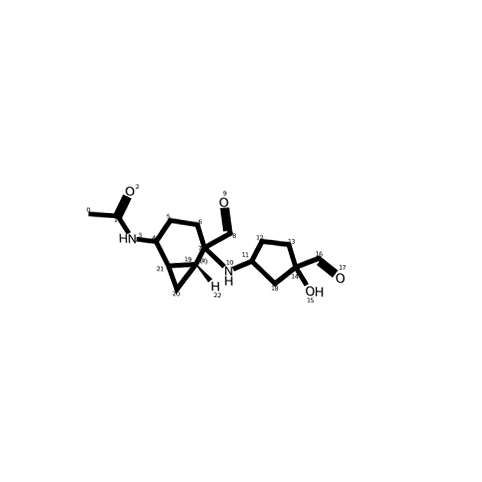 CC(=O)NC1CCC(C=O)(NC2CCC(O)(C=O)C2)[C@@H]2CC12